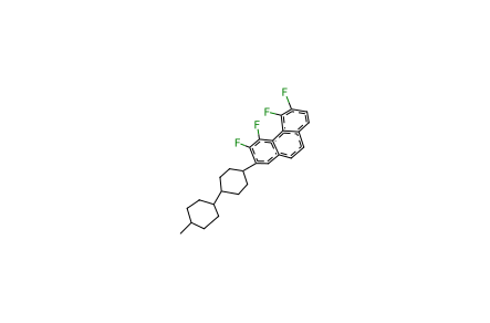 CC1CCC(C2CCC(c3cc4ccc5ccc(F)c(F)c5c4c(F)c3F)CC2)CC1